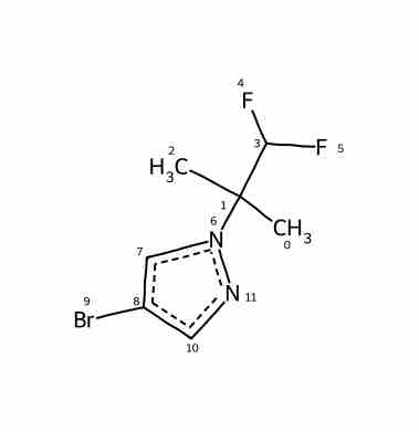 CC(C)(C(F)F)n1cc(Br)cn1